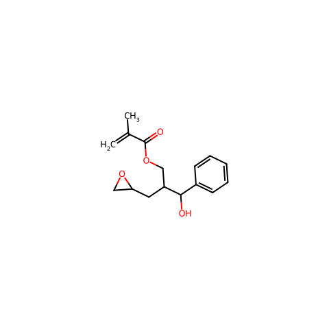 C=C(C)C(=O)OCC(CC1CO1)C(O)c1ccccc1